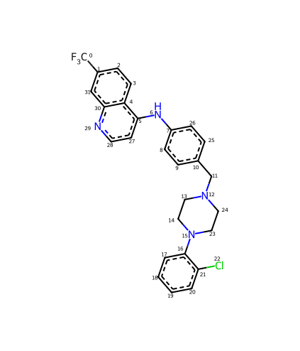 FC(F)(F)c1ccc2c(Nc3ccc(CN4CCN(c5ccccc5Cl)CC4)cc3)ccnc2c1